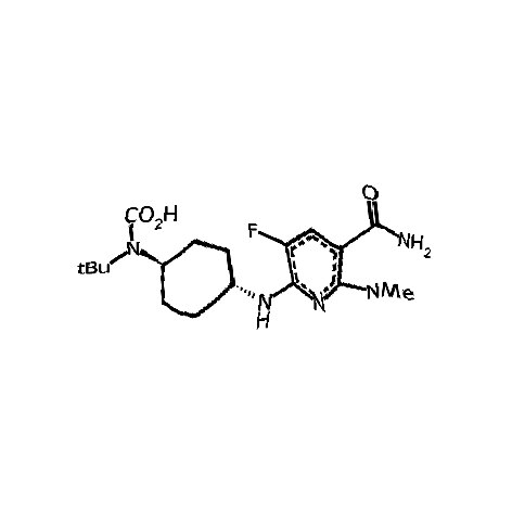 CNc1nc(N[C@H]2CC[C@H](N(C(=O)O)C(C)(C)C)CC2)c(F)cc1C(N)=O